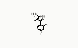 Cc1c(C2=CC=C(F)CC2C)n[nH]c1N